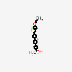 C=CCCOc1ccc(CCC2CCC(C3=CCC(C4=CCC(C(C)O)C=C4)C(F)=C3F)CC2)c(F)c1F